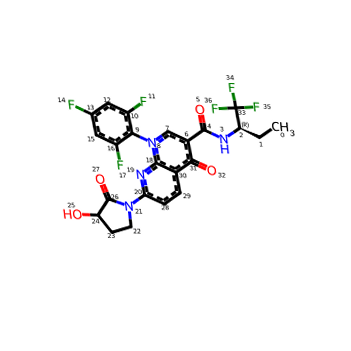 CC[C@@H](NC(=O)c1cn(-c2c(F)cc(F)cc2F)c2nc(N3CCC(O)C3=O)ccc2c1=O)C(F)(F)F